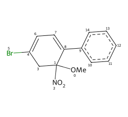 COC1([N+](=O)[O-])CC(Br)=CC=C1c1ccccc1